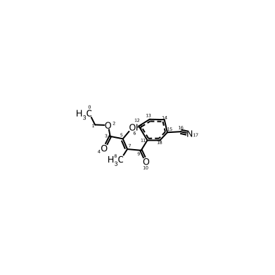 CCOC(=O)C(O)=C(C)C(=O)c1cccc(C#N)c1